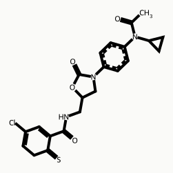 CC(=O)N(c1ccc(N2CC(CNC(=O)C3=CC(Cl)=CCC3=S)OC2=O)cc1)C1CC1